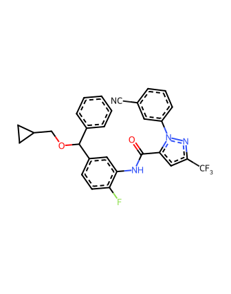 N#Cc1cccc(-n2nc(C(F)(F)F)cc2C(=O)Nc2cc(C(OCC3CC3)c3ccccc3)ccc2F)c1